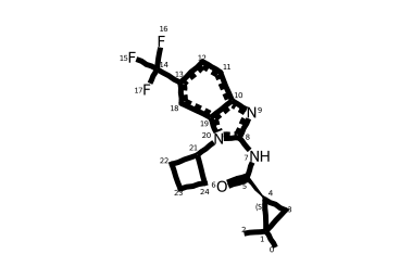 CC1(C)C[C@@H]1C(=O)Nc1nc2ccc(C(F)(F)F)cc2n1C1CCC1